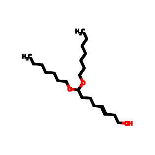 CCCCCCCOC(CCC/C=C/CCO)OCCCCCCC